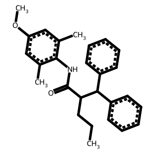 CCCC(C(=O)Nc1c(C)cc(OC)cc1C)C(c1ccccc1)c1ccccc1